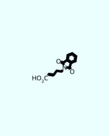 O=C(O)/C=C/CCN1C(=O)c2ccccc2C1=O